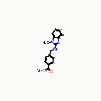 COC(=O)c1ccc(CNc2nc3ccccc3n2C)cc1